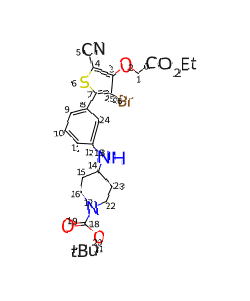 CCOC(=O)COc1c(C#N)sc(-c2cccc(NC3CCN(C(=O)OC(C)(C)C)CC3)c2)c1Br